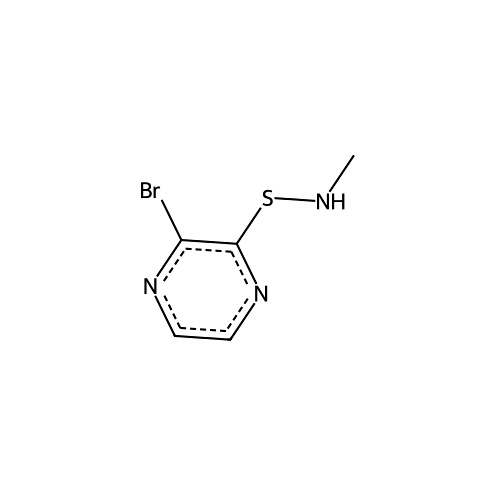 CNSc1nccnc1Br